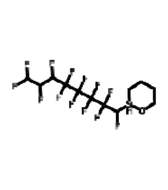 FC(F)C(F)C(F)C(F)(F)C(F)(F)C(F)(F)C(F)(F)C(F)[SiH]1CCCCO1